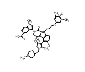 Cc1cc(OCCCc2c3n(c4c(-c5c(C)nn(CC6CCN(C)CC6)c5C)c(Cl)ccc24)[C@H](C)CN(c2cn(C)c4ccc(C(=O)O)cc24)C3=O)cc(C)c1Cl